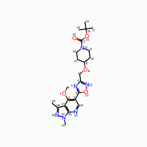 COc1c(-c2nc(COC3CCN(C(=O)OC(C)(C)C)CC3)no2)cnc2c1c(C)nn2C